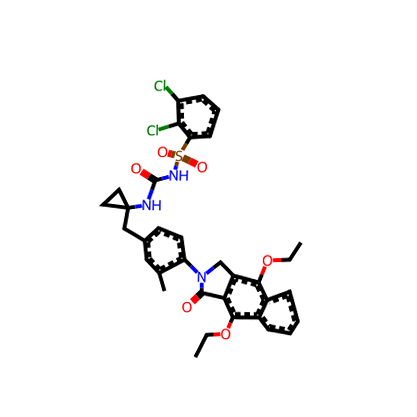 CCOc1c2c(c(OCC)c3ccccc13)C(=O)N(c1ccc(CC3(NC(=O)NS(=O)(=O)c4cccc(Cl)c4Cl)CC3)cc1C)C2